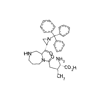 CC(CC(=O)N1CCCNCC1C(=O)[C@@H]1CN1C(c1ccccc1)(c1ccccc1)c1ccccc1)[C@H](N)C(=O)O